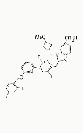 CO[C@H]1C[C@H](Cn2c(Cc3cc(F)c(-c4cccc(OCc5ccc(C)cc5F)n4)cc3F)nc3ccc(C(=O)O)cc32)C1